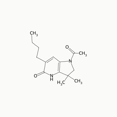 CCCCc1cc2c([nH]c1=O)C(C)(C)CN2C(C)=O